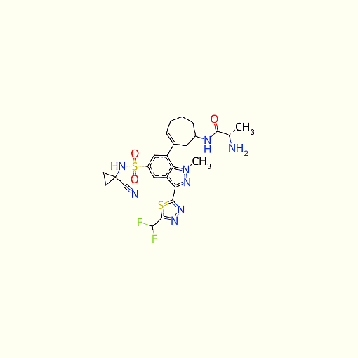 C[C@H](N)C(=O)NC1CCCC=C(c2cc(S(=O)(=O)NC3(C#N)CC3)cc3c(-c4nnc(C(F)F)s4)nn(C)c23)C1